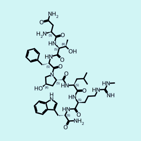 CNC(=N)NCCC[C@H](NC(=O)[C@H](CC(C)C)NC(=O)[C@@H]1C[C@@H](O)CN1C(=O)[C@H](Cc1ccccc1)NC(=O)[C@@H](NC(=O)[C@@H](N)CC(N)=O)[C@@H](C)O)C(=O)N[C@@H](Cc1c[nH]c2ccccc12)C(N)=O